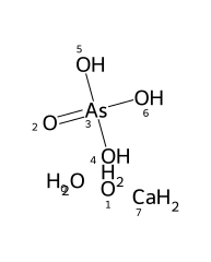 O.O.O=[As](O)(O)O.[CaH2]